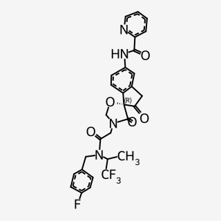 CC(N(Cc1ccc(F)cc1)C(=O)CN1CO[C@]2(C(=O)Cc3cc(NC(=O)c4ccccn4)ccc32)C1=O)C(F)(F)F